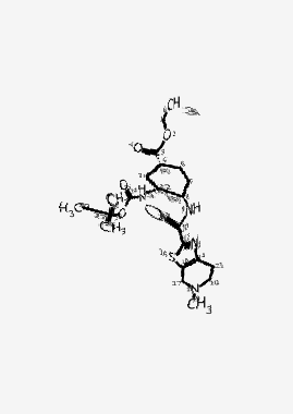 CCOC(=O)[C@@H]1CC[C@@H](NC(=O)c2nc3c(s2)CN(C)CC3)[C@@H](NC(=O)OC(C)(C)C)C1